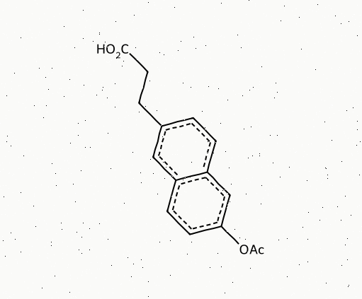 CC(=O)Oc1ccc2cc(CCC(=O)O)ccc2c1